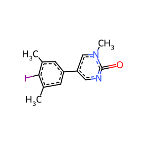 Cc1cc(-c2cnc(=O)n(C)c2)cc(C)c1I